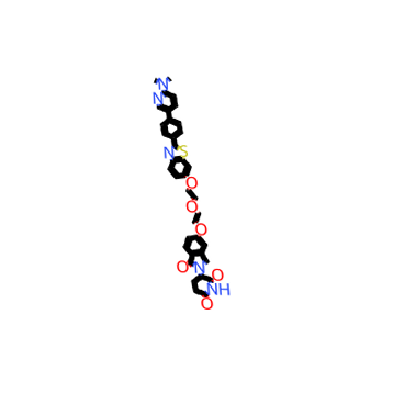 CN(C)c1ccc(-c2ccc(-c3nc4ccc(OCCOCCOc5ccc6c(c5)CN(C5CCC(=O)NC5=O)C6=O)cc4s3)cc2)cn1